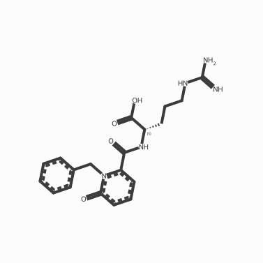 N=C(N)NCCC[C@H](NC(=O)c1cccc(=O)n1Cc1ccccc1)C(=O)O